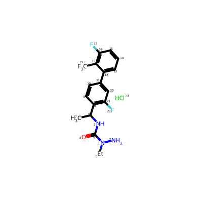 CCN(N)C(=O)NC(C)c1ccc(-c2cccc(F)c2C(F)(F)F)cc1F.Cl